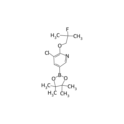 CC(C)(F)COc1ncc(B2OC(C)(C)C(C)(C)O2)cc1Cl